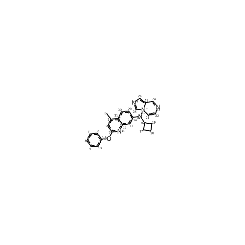 Cc1cc(Oc2ccccc2)nc2cc(N(C3CCC3)[N+]34C=CN=CC3=CN=C4)ccc12